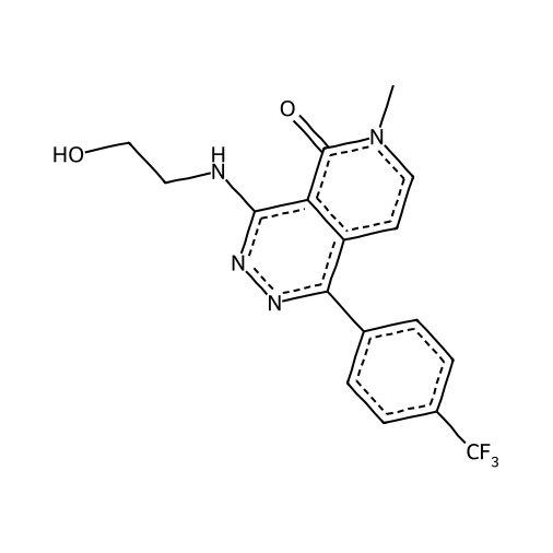 Cn1ccc2c(-c3ccc(C(F)(F)F)cc3)nnc(NCCO)c2c1=O